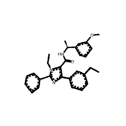 CCc1cccc(-c2nc(-c3ccccc3)n(CC)c2C(=O)N[C@@H](C)c2cccc(OC)c2)c1